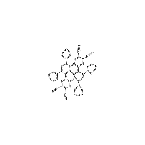 [C-]#[N+]c1nc2c(nc1[N+]#[C-])c1c(-c3ccccc3)cc(-c3ccccc3)c3c4nc(C#N)c(C#N)nc4c4c(-c5ccccc5)cc(-c5ccccc5)c2c4c31